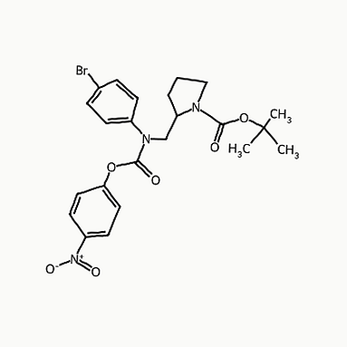 CC(C)(C)OC(=O)N1CCCC1CN(C(=O)Oc1ccc([N+](=O)[O-])cc1)c1ccc(Br)cc1